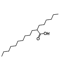 CCCCCCCCCCC(CCCCCC)C(=O)O